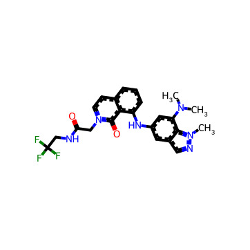 CN(C)c1cc(Nc2cccc3ccn(CC(=O)NCC(F)(F)F)c(=O)c23)cc2cnn(C)c12